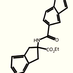 CCOC(=O)C1(NC(=O)c2ccc3sccc3c2)Cc2ccccc2C1